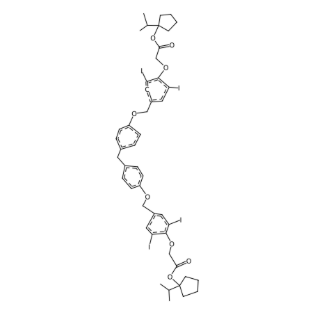 CC(C)C1(OC(=O)COc2c(I)cc(COc3ccc(Cc4ccc(OCc5cc(I)c(OCC(=O)OC6(C(C)C)CCCC6)c(I)c5)cc4)cc3)cc2I)CCCC1